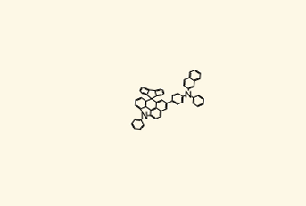 c1ccc(N(c2ccc(-c3cc4c5c(ccc6c5c5c(cccc5n6-c5ccccc5)C45c4ccccc4-c4ccccc45)c3)cc2)c2ccc3ccccc3c2)cc1